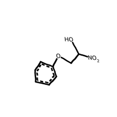 O=[N+]([O-])C(O)COc1ccccc1